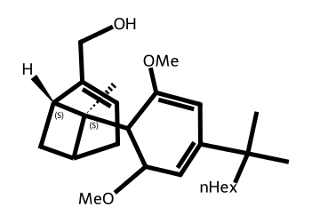 CCCCCCC(C)(C)C1=CC(OC)C([C@@]2(C)C3CC=C(CO)[C@H]2C3)C(OC)=C1